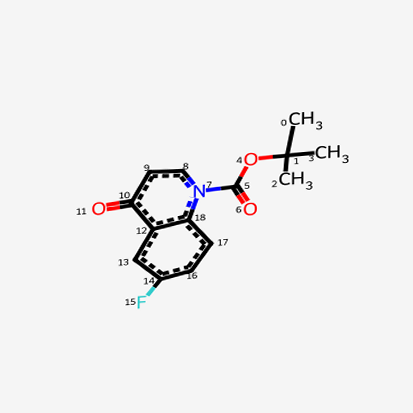 CC(C)(C)OC(=O)n1ccc(=O)c2cc(F)ccc21